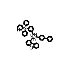 c1ccc(-c2ccc(-c3nc(-c4cccc([Si](c5ccccc5)(c5ccccc5)c5cccnc5)c4)nc(-c4cccc5oc6ccccc6c45)n3)cc2)cc1